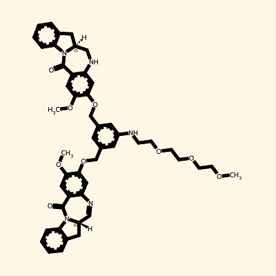 COCCOCCOCCNc1cc(COc2cc3c(cc2OC)C(=O)N2c4ccccc4C[C@H]2C=N3)cc(COc2cc3c(cc2OC)C(=O)N2c4ccccc4C[C@H]2CN3)c1